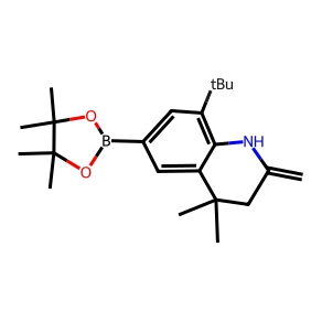 C=C1CC(C)(C)c2cc(B3OC(C)(C)C(C)(C)O3)cc(C(C)(C)C)c2N1